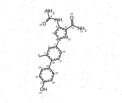 Cc1cc(-n2cc(NC(N)=O)c(C(N)=O)n2)ccc1-c1ccc(O)cc1